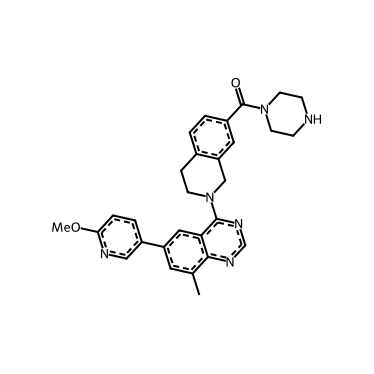 COc1ccc(-c2cc(C)c3ncnc(N4CCc5ccc(C(=O)N6CCNCC6)cc5C4)c3c2)cn1